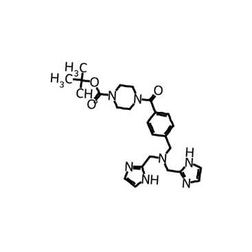 CC(C)(C)OC(=O)N1CCN(C(=O)c2ccc(CN(Cc3ncc[nH]3)Cc3ncc[nH]3)cc2)CC1